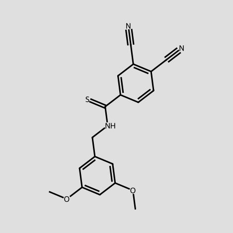 COc1cc(CNC(=S)c2ccc(C#N)c(C#N)c2)cc(OC)c1